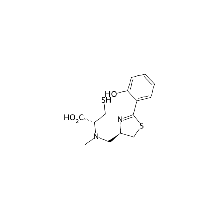 CN(C[C@@H]1CSC(c2ccccc2O)=N1)[C@@H](CS)C(=O)O